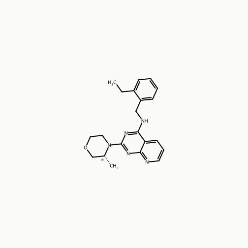 CCc1ccccc1CNc1nc(N2CCOC[C@H]2C)nc2ncccc12